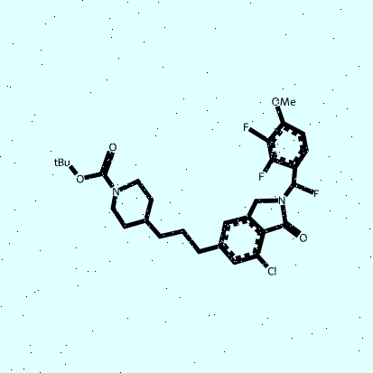 COc1ccc(C(F)N2Cc3cc(CCCC4CCN(C(=O)OC(C)(C)C)CC4)cc(Cl)c3C2=O)c(F)c1F